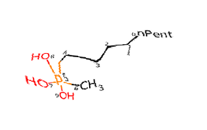 CCCCCCCCCP(C)(O)(O)O